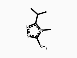 CC(C)c1nnc([SiH3])n1C